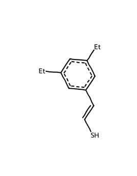 CCc1cc(C=CS)cc(CC)c1